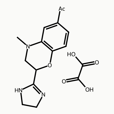 CC(=O)c1ccc2c(c1)N(C)CC(C1=NCCN1)O2.O=C(O)C(=O)O